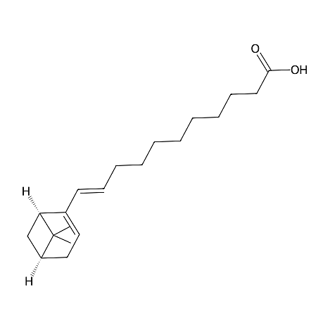 CC1(C)[C@H]2CC=C(C=CCCCCCCCCC(=O)O)[C@@H]1C2